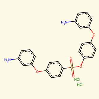 Cl.Cl.Nc1cccc(Oc2ccc(OS(=O)(=O)c3ccc(Oc4cccc(N)c4)cc3)cc2)c1